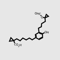 O=COC1(CCCCc2cc(CCCCCCC3(C(=O)O)CC3)ccc2O)CC1